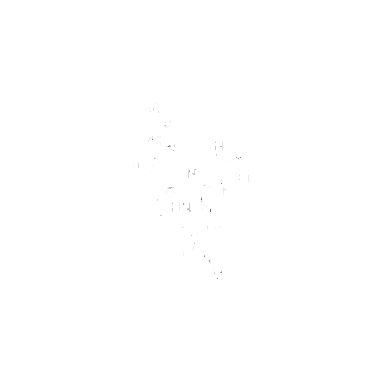 CONC(=O)C(=O)C(CC1CCC1)NC(=O)[C@@H]1[C@@H]2[C@H](CN1C(=O)[C@@H](NC(=O)OC(C)(C)C)C(C)(C)C)C2(Cl)Cl